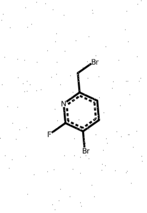 Fc1nc(CBr)ccc1Br